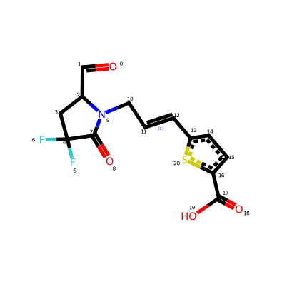 O=CC1CC(F)(F)C(=O)N1C/C=C/c1ccc(C(=O)O)s1